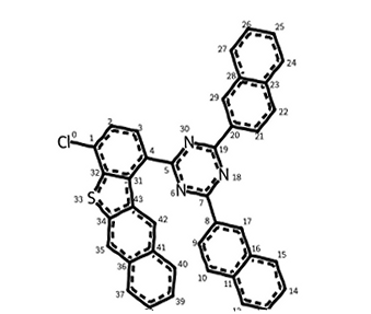 Clc1ccc(-c2nc(-c3ccc4ccccc4c3)nc(-c3ccc4ccccc4c3)n2)c2c1sc1cc3ccccc3cc12